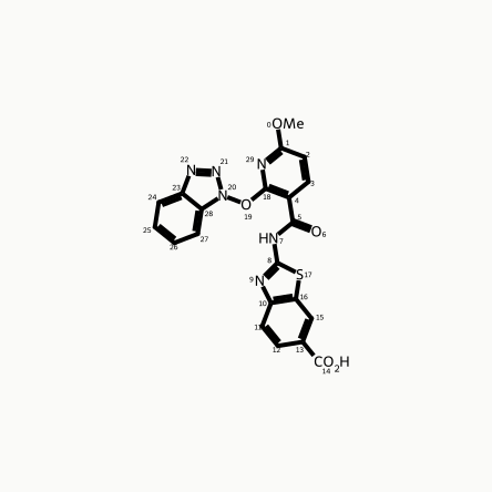 COc1ccc(C(=O)Nc2nc3ccc(C(=O)O)cc3s2)c(On2nnc3ccccc32)n1